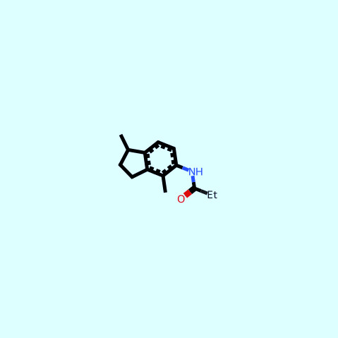 CCC(=O)Nc1ccc2c(c1C)CCC2C